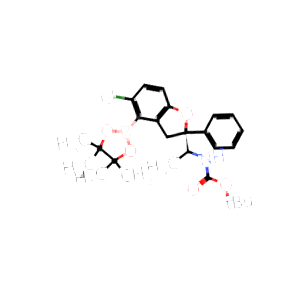 CC(NC(=O)OC(C)(C)C)[C@@]1(c2ccccc2)Cc2c(ccc(Cl)c2B2OC(C)(C)C(C)(C)O2)O1